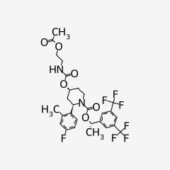 CC(=O)OCCNC(=O)O[C@H]1CCN(C(=O)O[C@@H](C)c2cc(C(F)(F)F)cc(C(F)(F)F)c2)[C@@H](c2ccc(F)cc2C)C1